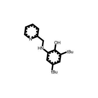 CC(C)(C)c1cc(NCc2ccccn2)c(O)c(C(C)(C)C)c1